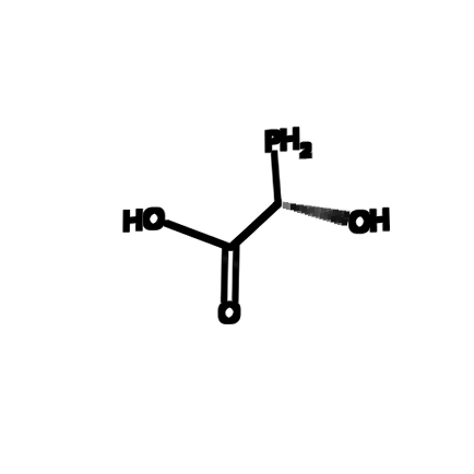 O=C(O)[C@@H](O)P